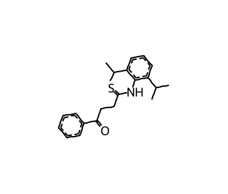 CC(C)c1cccc(C(C)C)c1NC(=S)CCC(=O)c1ccccc1